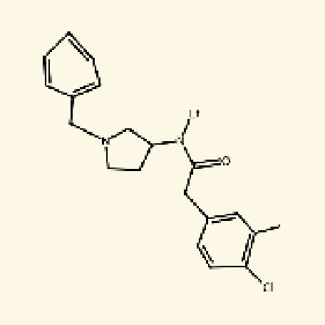 CCN(C(=O)Cc1ccc(Cl)c(C)c1)C1CCN(Cc2ccccc2)C1